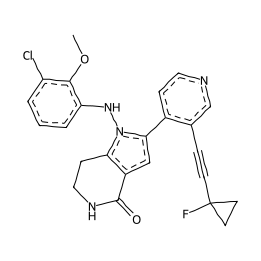 COc1c(Cl)cccc1Nn1c(-c2ccncc2C#CC2(F)CC2)cc2c1CCNC2=O